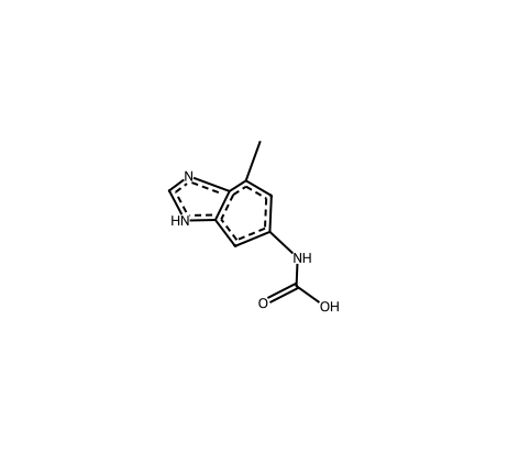 Cc1cc(NC(=O)O)cc2[nH]cnc12